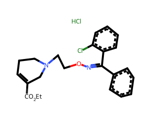 CCOC(=O)C1=CCCN(CCON=C(c2ccccc2)c2ccccc2Cl)C1.Cl